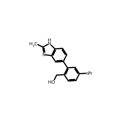 CCCc1ccc(CO)c(-c2ccc3[nH]c(C)nc3c2)c1